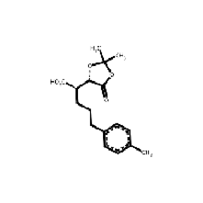 Cc1ccc(CCC[C@@H](C(=O)O)[C@@H]2OC(C)(C)OC2=O)cc1